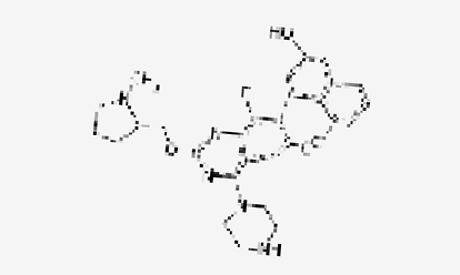 CN1CCC[C@H]1COc1nc(N2CCNCC2)c2cc(Cl)c(-c3cc(O)cc4cccc(Cl)c34)c(F)c2n1